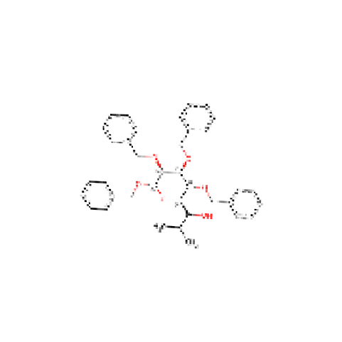 CC(C)C(O)[C@H]1O[C@H](OCc2ccccc2)[C@@H](OCc2ccccc2)[C@@H](OCc2ccccc2)[C@@H]1OCc1ccccc1